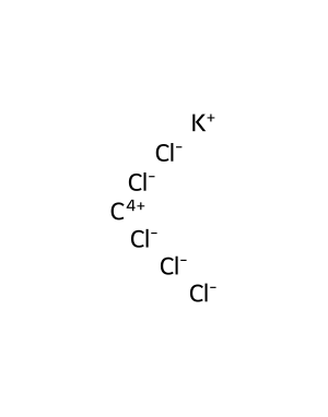 [C+4].[Cl-].[Cl-].[Cl-].[Cl-].[Cl-].[K+]